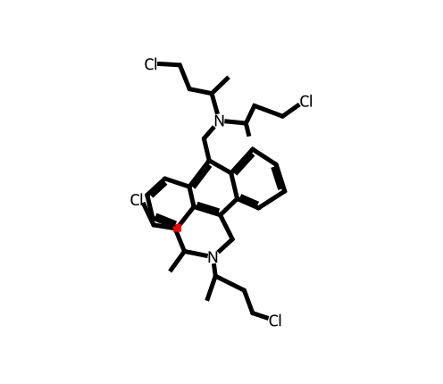 CC(CCCl)N(Cc1c2ccccc2c(CN(C(C)CCCl)C(C)CCCl)c2ccccc12)C(C)CCCl